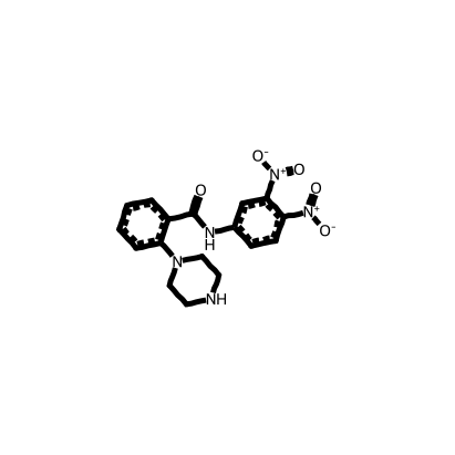 O=C(Nc1ccc([N+](=O)[O-])c([N+](=O)[O-])c1)c1ccccc1N1CCNCC1